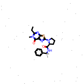 CCc1nc2sc(N3CCCC3C(=O)N[C@H](C)c3ccccc3)nc2c(=O)n1C